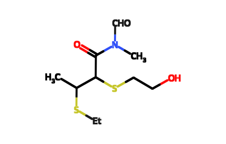 CCSC(C)C(SCCO)C(=O)N(C)C=O